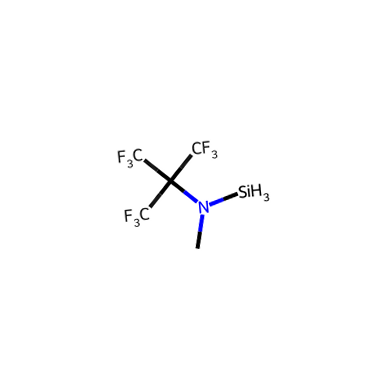 CN([SiH3])C(C(F)(F)F)(C(F)(F)F)C(F)(F)F